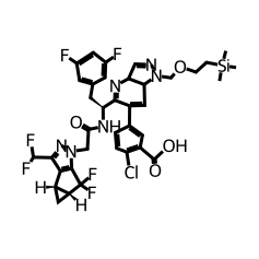 C[Si](C)(C)CCOCN1N=CC2N=C([C@H](Cc3cc(F)cc(F)c3)NC(=O)Cn3nc(C(F)F)c4c3C(F)(F)[C@@H]3C[C@H]43)C(c3ccc(Cl)c(C(=O)O)c3)=CC21